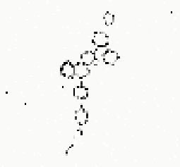 CCCCOc1ccc(-c2ccc(-c3cc4c(c5ccccc35)C=CC(c3ccccc3)(c3ccc(N5CCCC5)cc3)O4)cc2)cc1